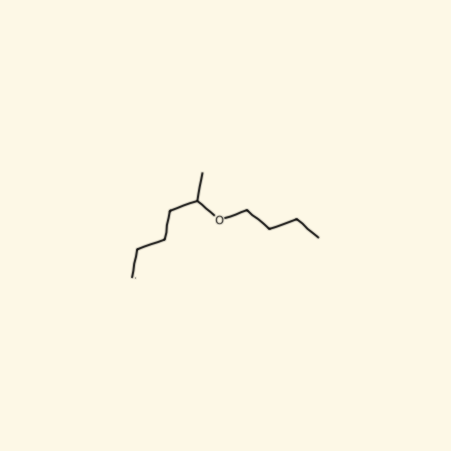 [CH2]CCCC(C)OCCCC